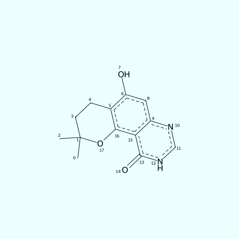 CC1(C)CCc2c(O)cc3nc[nH]c(=O)c3c2O1